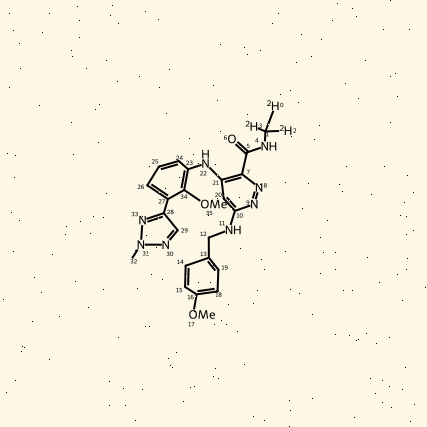 [2H]C([2H])([2H])NC(=O)c1nnc(NCc2ccc(OC)cc2)cc1Nc1cccc(-c2cnn(C)n2)c1OC